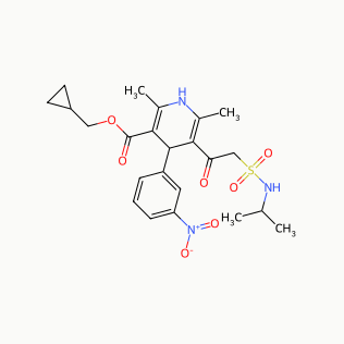 CC1=C(C(=O)CS(=O)(=O)NC(C)C)C(c2cccc([N+](=O)[O-])c2)C(C(=O)OCC2CC2)=C(C)N1